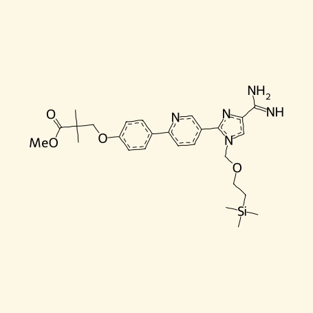 COC(=O)C(C)(C)COc1ccc(-c2ccc(-c3nc(C(=N)N)cn3COCC[Si](C)(C)C)cn2)cc1